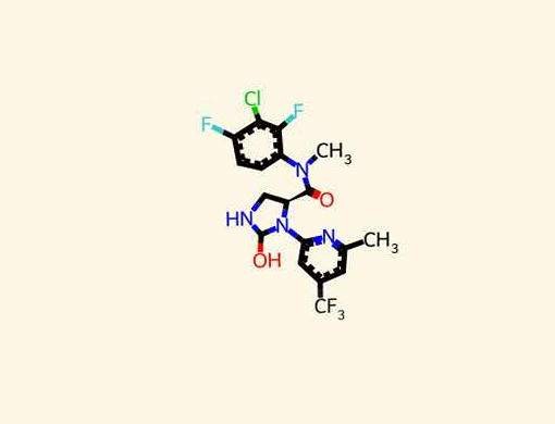 Cc1cc(C(F)(F)F)cc(N2C(O)NC[C@H]2C(=O)N(C)c2ccc(F)c(Cl)c2F)n1